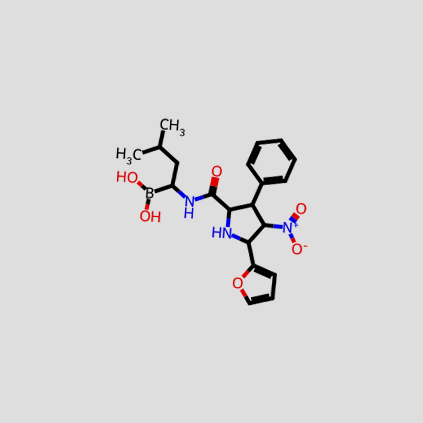 CC(C)CC(NC(=O)C1NC(c2ccco2)C([N+](=O)[O-])C1c1ccccc1)B(O)O